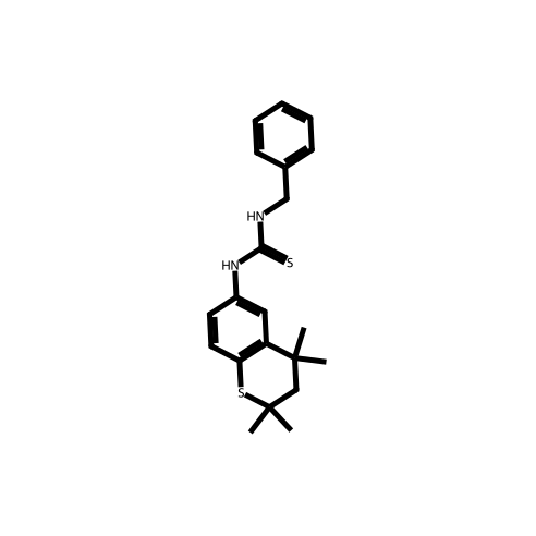 CC1(C)CC(C)(C)c2cc(NC(=S)NCc3ccccc3)ccc2S1